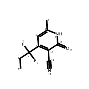 CCC(F)(F)c1cc(C)[nH]c(=O)c1C#N